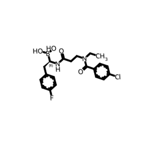 CCN(CCC(=O)N[C@@H](Cc1ccc(F)cc1)B(O)O)C(=O)c1ccc(Cl)cc1